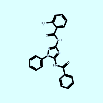 Cc1ccccc1C(=O)Nc1nc(NC(=O)c2ccccc2)n(-c2ccccc2)n1